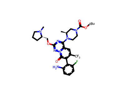 C[C@H]1CN(C(=O)OC(C)(C)C)CCN1c1nc(OC[C@@H]2CCCN2C)nn2c(=O)c(-c3c(N)cccc3F)c(C(F)(F)F)cc12